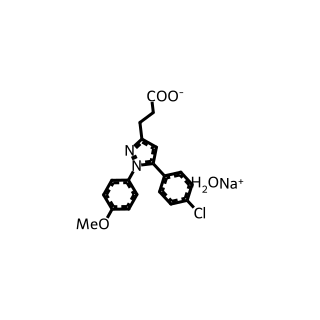 COc1ccc(-n2nc(CCC(=O)[O-])cc2-c2ccc(Cl)cc2)cc1.O.[Na+]